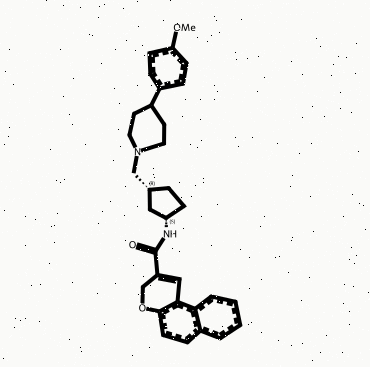 COc1ccc(C2CCN(C[C@@H]3CC[C@H](NC(=O)C4=Cc5c(ccc6ccccc56)OC4)C3)CC2)cc1